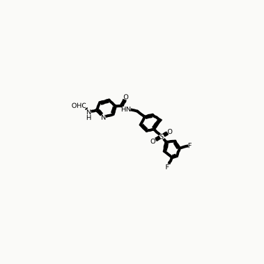 O=CNc1ccc(C(=O)NCc2ccc(S(=O)(=O)c3cc(F)cc(F)c3)cc2)cn1